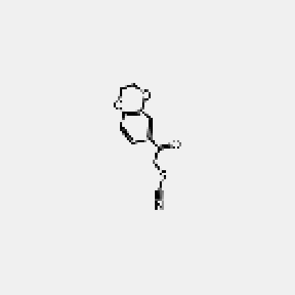 N#CSCC(=O)c1ccc2c(c1)OCCO2